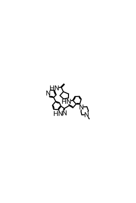 C=C(Nc1cncc(-c2ccc3[nH]nc(-c4cc5c(N6CCN(C)CC6)cccc5[nH]4)c3c2)c1)C1CCCC1